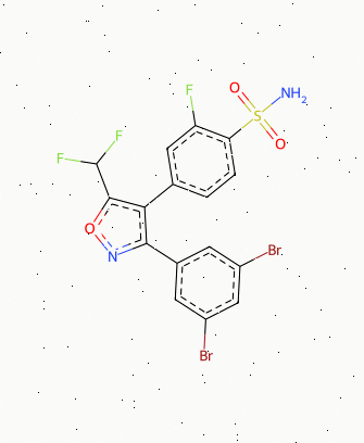 NS(=O)(=O)c1ccc(-c2c(-c3cc(Br)cc(Br)c3)noc2C(F)F)cc1F